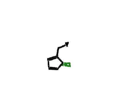 Cl.[Y][CH2]C1=CC=CC1